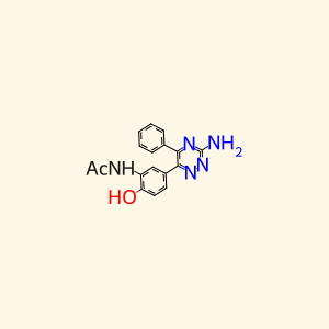 CC(=O)Nc1cc(-c2nnc(N)nc2-c2ccccc2)ccc1O